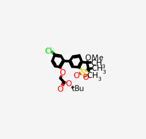 COC1(C)c2ccc(-c3cc(Cl)ccc3OCC(=O)OC(C)(C)C)cc2S(=O)(=O)C1(C)C